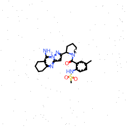 Cc1ccc(NS(C)(=O)=O)c(C(=O)N2CCCCC2c2cc3nc4c(c(N)n3n2)CCCC4)c1